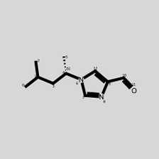 CC(C)C[C@H](C)n1cnc(C=O)c1